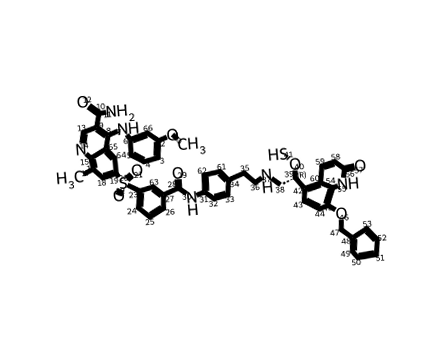 COc1cccc(Nc2c(C(N)=O)cnc3c(C)cc(S(=O)(=O)c4cccc(C(=O)Nc5ccc(CCNC[C@H](OS)c6ccc(OCc7ccccc7)c7[nH]c(=O)ccc67)cc5)c4)cc23)c1